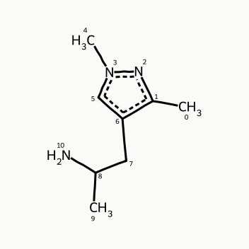 Cc1nn(C)cc1CC(C)N